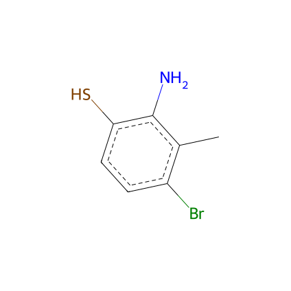 Cc1c(Br)ccc(S)c1N